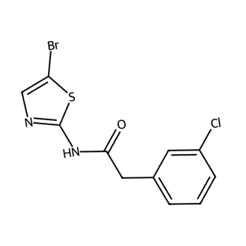 O=C(Cc1cccc(Cl)c1)Nc1ncc(Br)s1